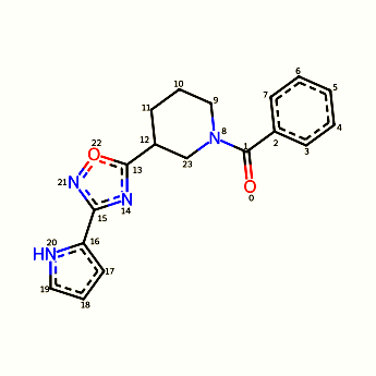 O=C(c1ccccc1)N1CCCC(c2nc(-c3ccc[nH]3)no2)C1